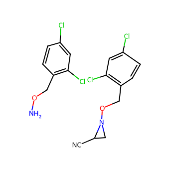 N#CC1CN1OCc1ccc(Cl)cc1Cl.NOCc1ccc(Cl)cc1Cl